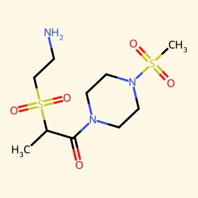 CC(C(=O)N1CCN(S(C)(=O)=O)CC1)S(=O)(=O)CCN